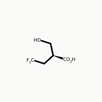 O=C(O)[C@H](CO)CC(F)(F)F